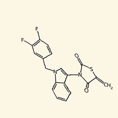 C=C1SC(=O)N(c2cn(Cc3ccc(F)c(F)c3)c3ccccc23)C1=O